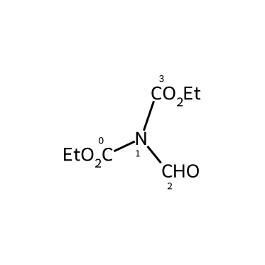 CCOC(=O)N(C=O)C(=O)OCC